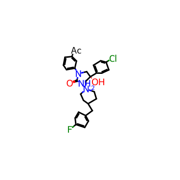 CC(=O)c1cccc(N(C[C@](O)(CN2CCC(Cc3ccc(F)cc3)CC2)c2ccc(Cl)cc2)C(N)=O)c1